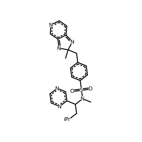 CC(C)CC(c1cnccn1)N(C)S(=O)(=O)c1ccc(CC2(C)N=c3ccncc3=N2)cc1